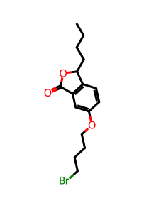 CCCCC1OC(=O)c2cc(OCCCCBr)ccc21